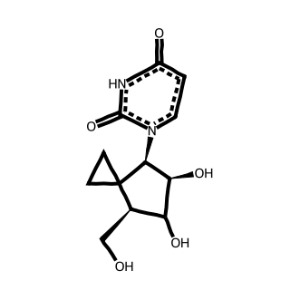 O=c1ccn([C@H]2[C@@H](O)C(O)[C@@H](CO)C23CC3)c(=O)[nH]1